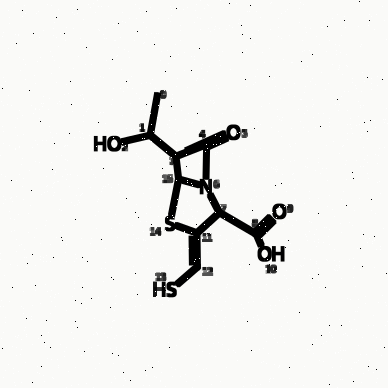 CC(O)C1C(=O)N2C(C(=O)O)C(=CS)SC12